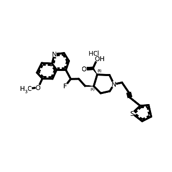 COc1ccc2nccc(C(F)CC[C@@H]3CCN(CC#Cc4cccs4)C[C@@H]3C(=O)O)c2c1.Cl